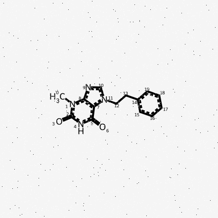 Cn1c(=O)[nH]c(=O)c2c1ncn2CCc1ccccc1